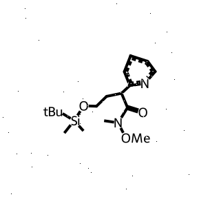 CON(C)C(=O)C(CCO[Si](C)(C)C(C)(C)C)c1ccccn1